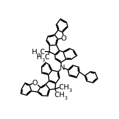 CC1(C)c2cc(N(c3ccc(-c4ccccc4)cc3)c3cc4c(c5ccccc35)-c3c(ccc5c3oc3ccccc35)C4(C)C)c3ccccc3c2-c2c1ccc1c2oc2ccccc21